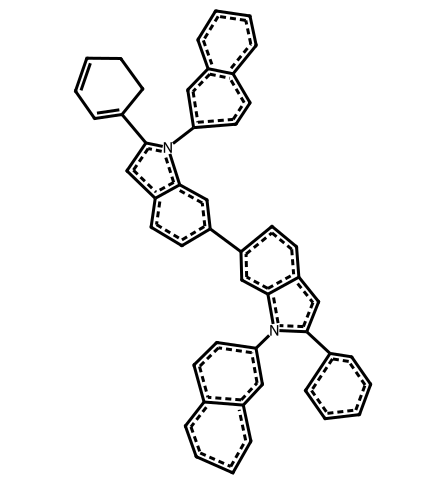 C1=CCCC(c2cc3ccc(-c4ccc5cc(-c6ccccc6)n(-c6ccc7ccccc7c6)c5c4)cc3n2-c2ccc3ccccc3c2)=C1